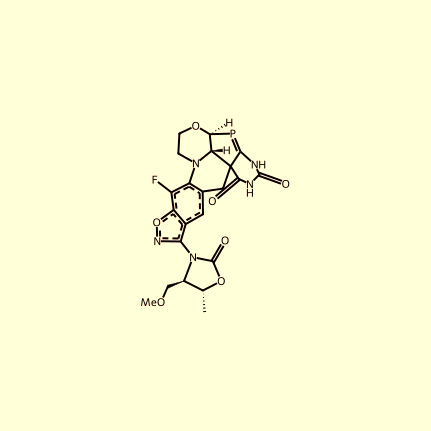 COC[C@@H]1[C@@H](C)OC(=O)N1c1noc2c(F)c3c(cc12)CC12C(=O)NC(=O)NC1=P[C@@H]1OCCN3[C@H]12